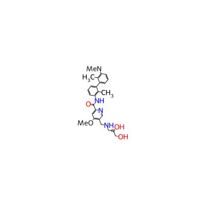 CNc1cccc(-c2cccc(NC(=O)c3cc(OC)c(CNC[C@H](O)CO)cn3)c2C)c1C